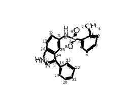 Cc1ccccc1S(=O)(=O)Nc1ccc2[nH]nc(-c3ccccc3)c2c1